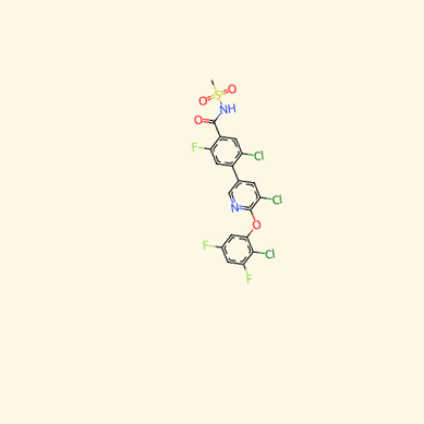 CS(=O)(=O)NC(=O)c1cc(Cl)c(-c2cnc(Oc3cc(F)cc(F)c3Cl)c(Cl)c2)cc1F